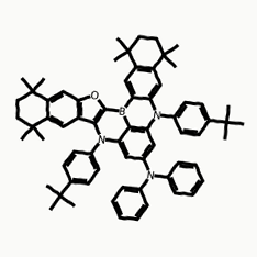 CC(C)(C)c1ccc(N2c3cc4c(cc3B3c5oc6cc7c(cc6c5N(c5ccc(C(C)(C)C)cc5)c5cc(N(c6ccccc6)c6ccccc6)cc2c53)C(C)(C)CCC7(C)C)C(C)(C)CCC4(C)C)cc1